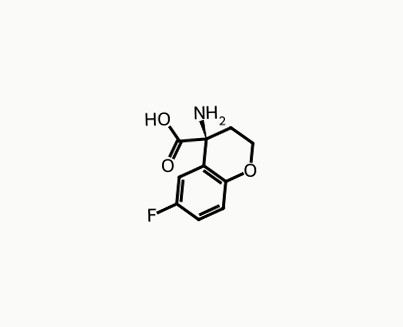 N[C@@]1(C(=O)O)CCOc2ccc(F)cc21